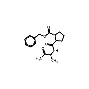 C[C@H](NC(=O)[C@@H]1CCCN1C(=O)OCc1ccccc1)C(N)=O